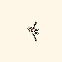 C=C(C)CC(CCC(=C)c1cc(C2CCC(c3ccccc3)CN2C)cc(-n2c3ccccc3c3c4c5ccccc5n(-c5cc(C6CCC(c7ccccc7)C=N6)cc(C6CCC(c7ccccc7)CN6)c5)c4ccc32)c1)c1ccccc1